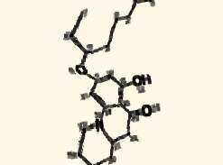 CCCCCC(CC)Oc1cc(O)c2c(c1)N1CCCCC1CC2=O